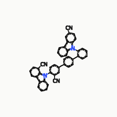 N#Cc1ccc2c(c1)c1ccccc1n2-c1ccccc1-c1ccc(-c2ccc(-n3c4ccccc4c4cccc(C#N)c43)c(C#N)c2)cc1